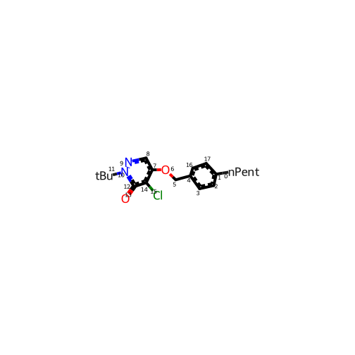 CCCCCc1ccc(COc2cnn(C(C)(C)C)c(=O)c2Cl)cc1